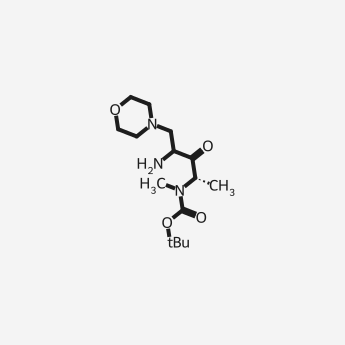 C[C@@H](C(=O)C(N)CN1CCOCC1)N(C)C(=O)OC(C)(C)C